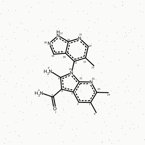 Cc1cc2c(C(N)=O)c(N)n(-c3c(C)cnc4[nH]ncc34)c2nc1C